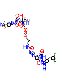 Cc1ncsc1-c1ccc(CNC(=O)[C@@H]2CC(O)CN2C(=O)[C@@H](NC(=O)CCOCCOCCC2CC2CCNC(=O)CN2CCN(c3ccc(C(=O)Nc4n[nH]c5ccc(Cc6cc(F)cc(F)c6)cc45)c(NC4CCOCC4)c3)CC2)C(C)(C)C)cc1